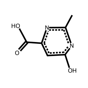 Cc1nc(O)cc(C(=O)O)n1